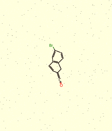 O=C=C1C=Cc2cc(Br)ccc2C1